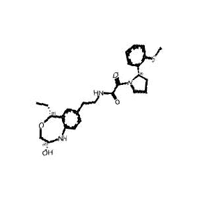 CC[C@H]1OC[C@@H](O)Nc2ccc(CCNC(=O)C(=O)N3CCC[C@@H]3c3ccccc3SC)cc21